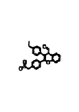 CCc1ccc(C2=C(c3ccc(C[SH](=O)=O)cc3)Oc3ccccc3C2C=O)cc1